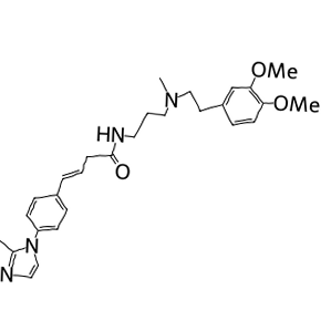 COc1ccc(CCN(C)CCCNC(=O)C/C=C/c2ccc(-n3ccnc3C)cc2)cc1OC